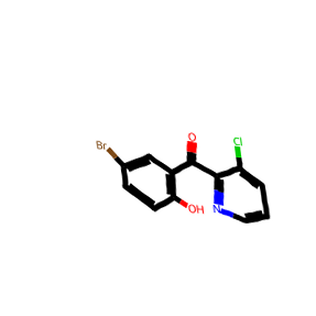 O=C(c1cc(Br)ccc1O)c1ncccc1Cl